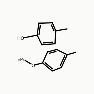 CCCOc1ccc(C)cc1.Cc1ccc(O)cc1